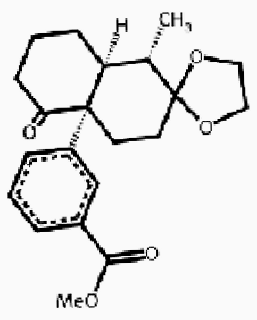 COC(=O)c1cccc([C@@]23CCC4(OCCO4)[C@@H](C)[C@@H]2CCCC3=O)c1